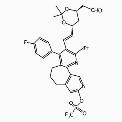 CC(C)c1nc2c(c(-c3ccc(F)cc3)c1/C=C/[C@@H]1C[C@H](CC=O)OC(C)(C)O1)CCCc1cc(OS(=O)(=O)C(F)(F)F)ncc1-2